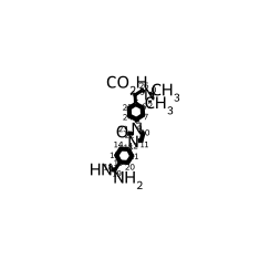 CN(C)C(Cc1ccc(-n2ccn(-c3ccc(C(=N)N)cc3)c2=O)cc1)C(=O)O